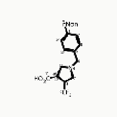 CCCCCCCCCc1ccc(CN2CC(C(F)(F)F)[C@@H](C(=O)O)C2)cc1